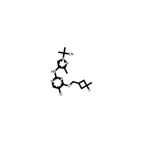 Cc1nn(C(C)(C)C#N)cc1Nc1ncc(Cl)c(OCC2CC(C)(F)C2)n1